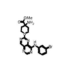 COC(=O)C1(N)CCN(c2ncc3ncnc(Nc4cccc(Br)c4)c3n2)CC1